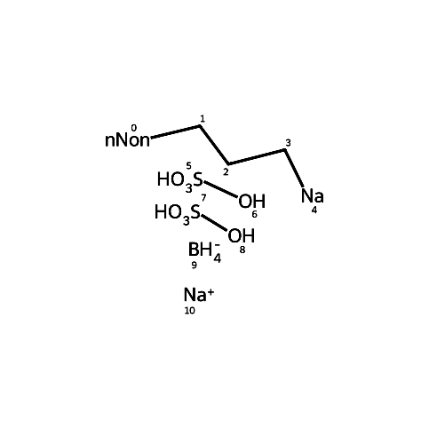 CCCCCCCCCCC[CH2][Na].O=S(=O)(O)O.O=S(=O)(O)O.[BH4-].[Na+]